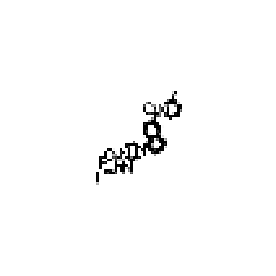 C[C@H]1CCCN(C(=O)c2ccc3c(N4CCn5c(nn(CC(F)F)c5=O)C4)cccc3c2)C1